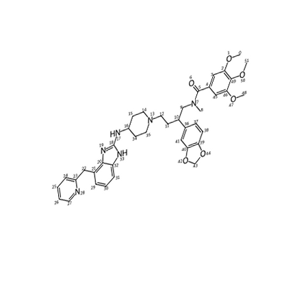 COc1cc(C(=O)N(C)CC(CCN2CCC(Nc3nc4c(Cc5ccccn5)cccc4[nH]3)CC2)c2ccc3c(c2)OCO3)cc(OC)c1OC